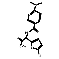 COC(=O)C(NC(=O)c1ccc(N(C)C)nc1)c1ccc(Cl)s1